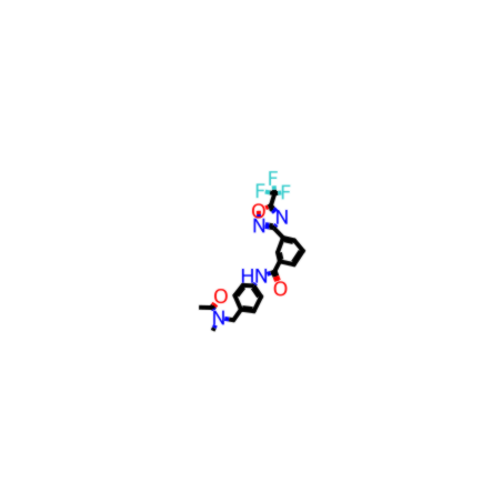 CC(=O)N(C)Cc1ccc(NC(=O)c2cccc(-c3noc(C(F)(F)F)n3)c2)cc1